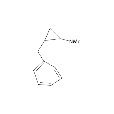 CNC1CC1Cc1ccccc1